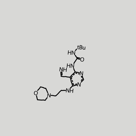 CC(C)(C)NC(=O)Nc1ncnc(NCCN2CCOCC2)c1C=N